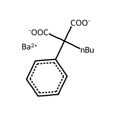 CCCCC(C(=O)[O-])(C(=O)[O-])c1ccccc1.[Ba+2]